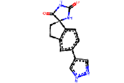 O=C1NC(=O)[C@]2(CCc3cc(-c4cn[nH]c4)ccc32)N1